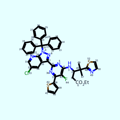 CCOC(=O)CC(Nc1nc(-c2nn(C(c3ccccc3)(c3ccccc3)c3ccccc3)c3ncc(Cl)cc23)nc(-c2cccs2)c1F)C(C)(C)c1nccs1